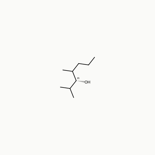 CCCC(C)[C@H](O)C(C)C